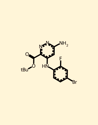 CC(C)(C)OC(=O)c1nnc(N)cc1Nc1ccc(Br)cc1F